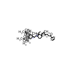 C=C1/C(=C\C=C2/CCC[C@]3(C)[C@@H]([C@H](C)CCCC(=O)c4nccs4)CC[C@@H]23)C[C@@H](O[Si](C)(C)C(C)(C)C)C[C@@H]1O[Si](C)(C)C(C)(C)C